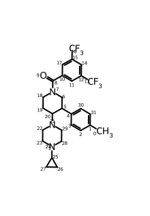 Cc1ccc(C2CN(C(=O)c3cc(C(F)(F)F)cc(C(F)(F)F)c3)CCC2N2CCN(C3CC3)CC2)cc1